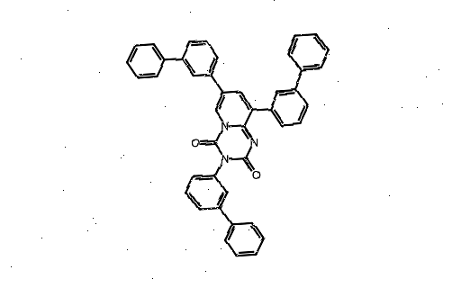 O=c1nc2c(-c3cccc(-c4ccccc4)c3)cc(-c3cccc(-c4ccccc4)c3)cn2c(=O)n1-c1cccc(-c2ccccc2)c1